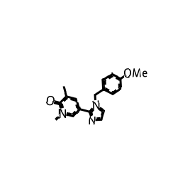 COc1ccc(Cn2ccnc2-c2cc(C)c(=O)n(C)c2)cc1